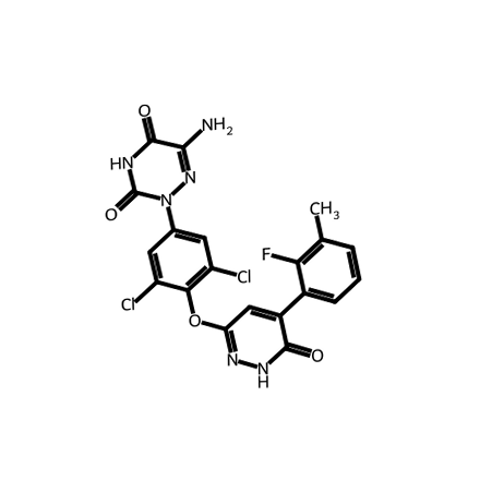 Cc1cccc(-c2cc(Oc3c(Cl)cc(-n4nc(N)c(=O)[nH]c4=O)cc3Cl)n[nH]c2=O)c1F